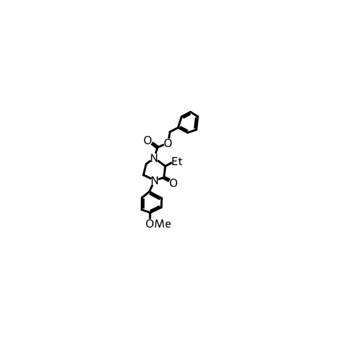 CCC1C(=O)N(c2ccc(OC)cc2)CCN1C(=O)OCc1ccccc1